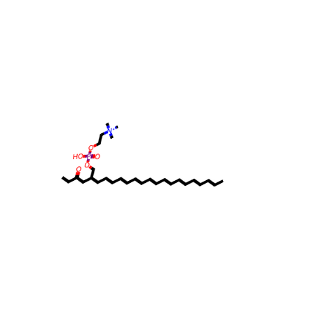 CCCCCCCCCCCCCCCCCCC(COP(=O)(O)OCC[N+](C)(C)C)CC(=O)CC